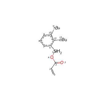 C=CC(=O)O[SiH2]c1cccc(CCCC)c1CCCC